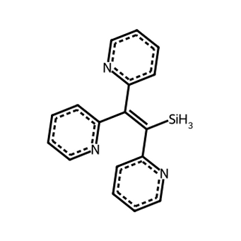 [SiH3]C(=C(c1ccccn1)c1ccccn1)c1ccccn1